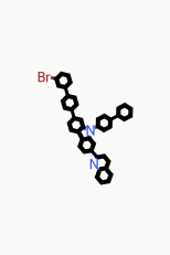 Brc1cccc(-c2ccc(-c3ccc4c5ccc(-c6ccc7ccccc7n6)cc5n(-c5ccc(-c6ccccc6)cc5)c4c3)cc2)c1